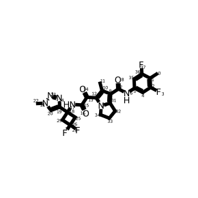 Cc1c(F)cc(NC(=O)c2c(C)c(C(=O)C(=O)NC3(c4cn(C)nn4)CC(F)(F)C3)n3c2CCC3)cc1F